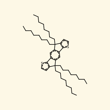 CCCCCCCCC1(CCCCCCCC)c2cc3c(cc2-c2sccc21)C(CCCCCCCC)(CCCCCCCC)c1ccsc1-3